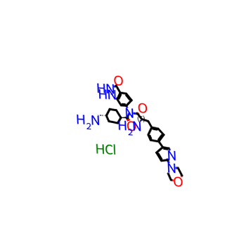 Cl.NC[C@H]1CC[C@H](C(=O)N(C(=O)[C@@H](N)Cc2ccc(-c3ccc(N4CCOCC4)nc3)cc2)c2ccc3c(=O)[nH][nH]c3c2)CC1